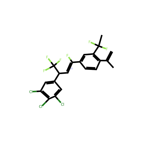 C=C(C)c1ccc(/C(F)=C/C(c2cc(Cl)c(Cl)c(Cl)c2)C(F)(F)F)cc1C(C)(F)F